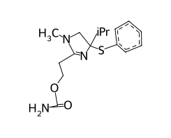 CC(C)C1(Sc2ccccc2)CN(C)C(CCOC(N)=O)=N1